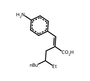 CCCCC(CC)CC(=Cc1ccc(N)cc1)C(=O)O